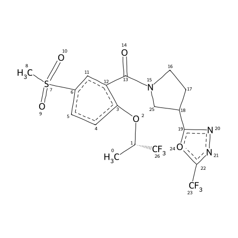 C[C@H](Oc1ccc(S(C)(=O)=O)cc1C(=O)N1CCC(c2nnc(C(F)(F)F)o2)C1)C(F)(F)F